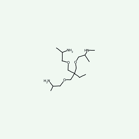 CCC(COCC(C)N)(COCC(C)N)COCC(C)NC